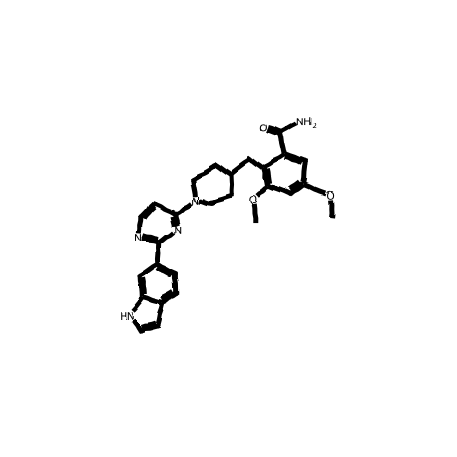 COc1cc(OC)c(CC2CCN(c3ccnc(-c4ccc5cc[nH]c5c4)n3)CC2)c(C(N)=O)c1